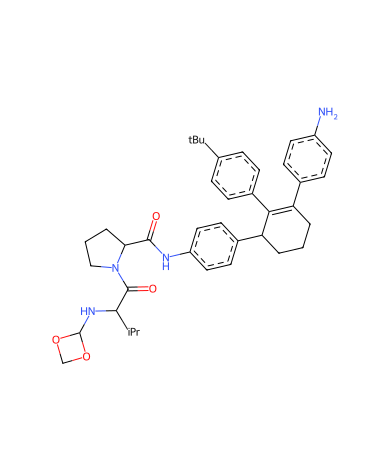 CC(C)C(NC1OCO1)C(=O)N1CCCC1C(=O)Nc1ccc(C2CCCC(c3ccc(N)cc3)=C2c2ccc(C(C)(C)C)cc2)cc1